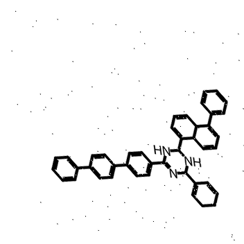 C1=CC2C(c3ccccc3)=CC=CC2C(C2NC(c3ccc(-c4ccc(-c5ccccc5)cc4)cc3)=NC(C3=CCCC=C3)N2)=C1